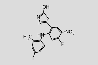 Cc1cc(I)ccc1Nc1cc(F)c([N+](=O)[O-])cc1-c1nnc(O)s1